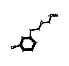 COCOC[CH]c1cccc(Cl)c1